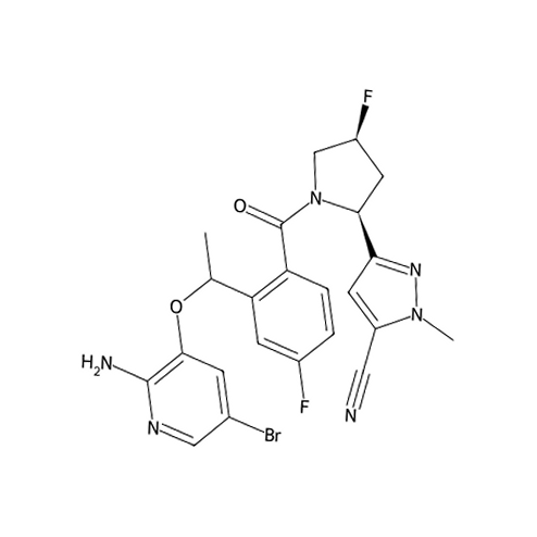 CC(Oc1cc(Br)cnc1N)c1cc(F)ccc1C(=O)N1C[C@@H](F)C[C@H]1c1cc(C#N)n(C)n1